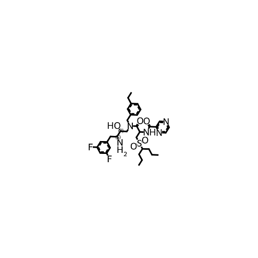 CCCC(CCC)S(=O)(=O)CC(NC(=O)c1cnccn1)C(=O)N(Cc1cccc(CC)c1)C[C@@H](O)[C@@H](N)Cc1cc(F)cc(F)c1